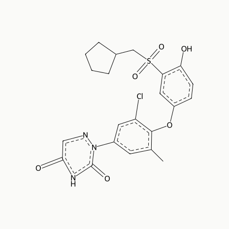 Cc1cc(-n2ncc(=O)[nH]c2=O)cc(Cl)c1Oc1ccc(O)c(S(=O)(=O)CC2CCCC2)c1